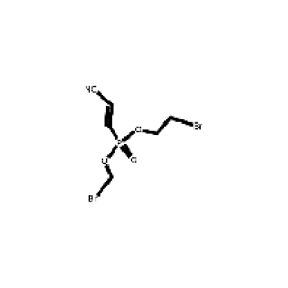 N#CC=CP(=O)(OCBr)OCCBr